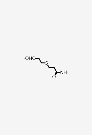 [NH]C(=O)CCSCC[C]=O